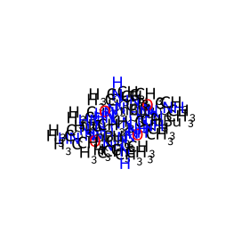 CCCCN(C1=NN(OC2CC(C)(C)NC(C)(C)C2)NC(NCCCN(CCN(CCCNC2=CC(N(CCCC)C3CC(C)(C)NC(C)(C)C3)=NN(OC3CC(C)(C)NC(C)(C)C3)N2)C2=CC(N(CCCC)C3CC(C)(C)NC(C)(C)C3)=NN(OC3CC(C)(C)NC(C)(C)C3)N2)C2=CC(N(CCCC)C3CC(C)(C)NC(C)(C)C3)=NN(OC3CC(C)(C)NC(C)(C)C3)N2)=C1)C1CC(C)(C)NC(C)(C)C1